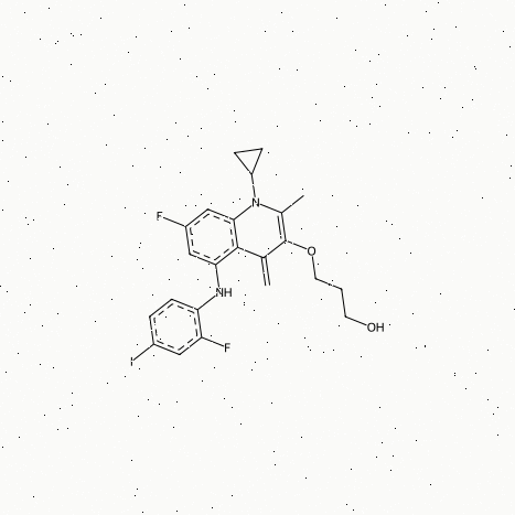 C=C1C(OCCCO)=C(C)N(C2CC2)c2cc(F)cc(Nc3ccc(I)cc3F)c21